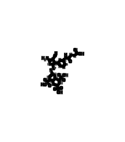 N#Cc1c(N)sc(N=Nc2cc(S(=O)(=O)O)c3cc(S(=O)(=O)O)cc(S(=O)(=O)O)c3c2)c1-c1cccc(NC(=O)CCC(=O)O)c1